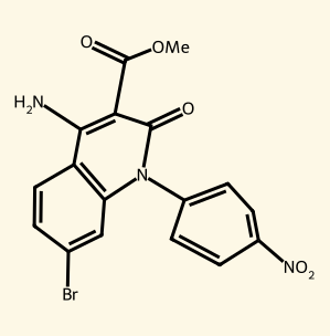 COC(=O)c1c(N)c2ccc(Br)cc2n(-c2ccc([N+](=O)[O-])cc2)c1=O